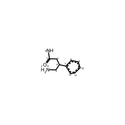 [NH]C(=O)CC(CN)c1ccccc1